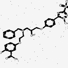 Cn1nc(S(C)(=O)=O)nc1-c1ccc(OCC(O)CN(CCOc2ccc(O)c(C(N)=O)c2)Cc2ccccc2)cc1